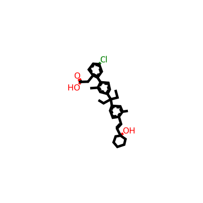 CCC(CC)(c1ccc(C=CC2(O)CCCCC2)c(C)c1)c1ccc(-c2cc(Cl)ccc2CC(=O)O)c(C)c1